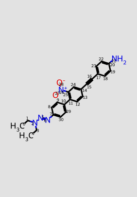 CCN(CC)/N=N/c1ccc(-c2ccc(C#Cc3ccc(N)cc3)cc2[N+](=O)[O-])cc1